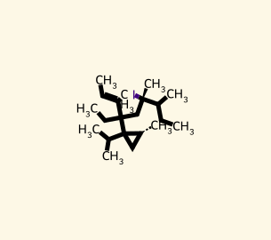 C/C=C(\C)C(CC)(C[C@](C)(I)C(C)CC)C1(C(C)C)C[C@H]1C